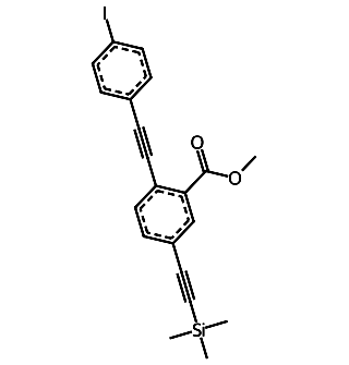 COC(=O)c1cc(C#C[Si](C)(C)C)ccc1C#Cc1ccc(I)cc1